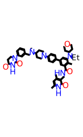 CCN(c1cc(-c2ccc(N3CCC(N(C)Cc4cccc(N5CCC(=O)NC5=O)c4)CC3)cc2)cc(C(=O)NCc2c(C)cc(C)[nH]c2=O)c1C)C1CCOCC1